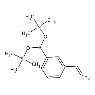 C=Cc1cccc(B(O[Si](C)(C)C)O[Si](C)(C)C)c1